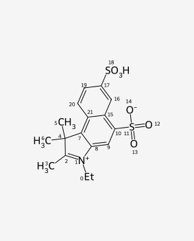 CC[N+]1=C(C)C(C)(C)c2c1cc(S(=O)(=O)[O-])c1cc(S(=O)(=O)O)ccc21